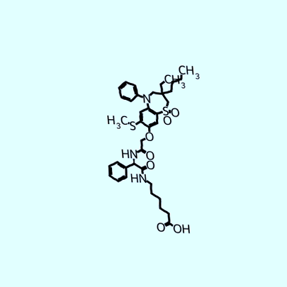 CCCCC1(CC)CN(c2ccccc2)c2cc(SC)c(OCC(=O)N[C@@H](C(=O)NCCCCCC(=O)O)c3ccccc3)cc2S(=O)(=O)C1